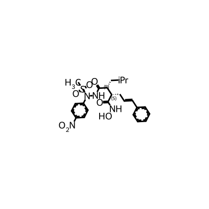 CC(C)C[C@@H](C(=O)NN(c1ccc([N+](=O)[O-])cc1)S(C)(=O)=O)[C@H](CC=Cc1ccccc1)C(=O)NO